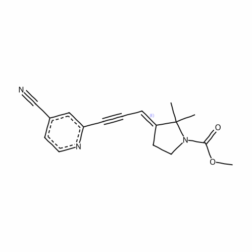 COC(=O)N1CC/C(=C\C#Cc2cc(C#N)ccn2)C1(C)C